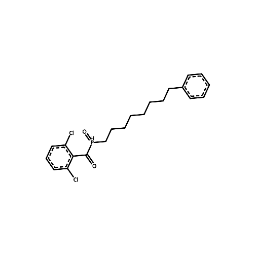 O=C(c1c(Cl)cccc1Cl)[PH](=O)CCCCCCCCc1ccccc1